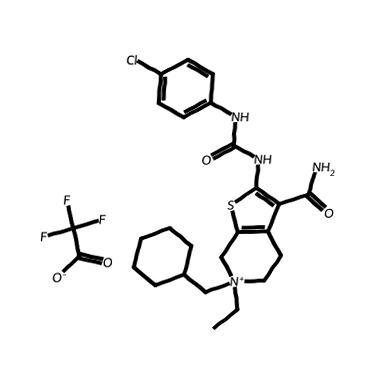 CC[N+]1(CC2CCCCC2)CCc2c(sc(NC(=O)Nc3ccc(Cl)cc3)c2C(N)=O)C1.O=C([O-])C(F)(F)F